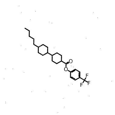 CCCCCC1CCC(C2CCC(C(=O)Oc3ccc(C(F)(F)F)cc3)CC2)CC1